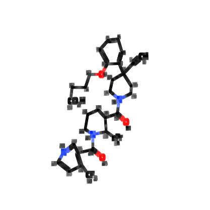 C#CC1(c2ccccc2OCCCC(=O)O)CCN(C(=O)C2CCCN(C(=O)c3cnccc3C(F)(F)F)C2CCC)CC1